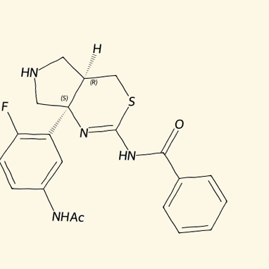 CC(=O)Nc1ccc(F)c([C@]23CNC[C@H]2CSC(NC(=O)c2ccccc2)=N3)c1